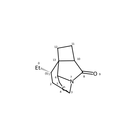 CC[C@H]1CC2CCC3N2C(=O)C2CCC231